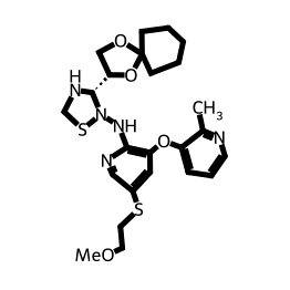 COCCSc1cnc(NN2SCN[C@@H]2C2COC3(CCCCC3)O2)c(Oc2cccnc2C)c1